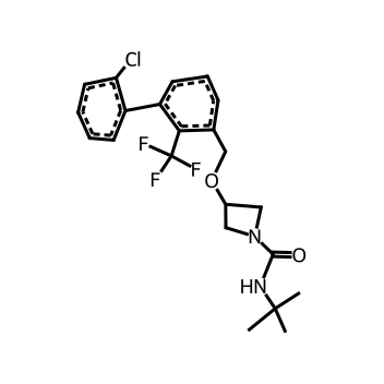 CC(C)(C)NC(=O)N1CC(OCc2cccc(-c3ccccc3Cl)c2C(F)(F)F)C1